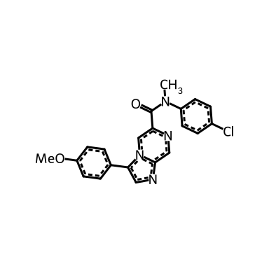 COc1ccc(-c2cnc3cnc(C(=O)N(C)c4ccc(Cl)cc4)cn23)cc1